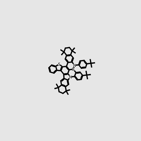 CC(C)(C)c1ccc(N2B3c4cc(C(C)(C)C)ccc4-n4c5cc6c(cc5c5c7c(sc8ccccc87)c(c3c54)-c3cc4c(cc32)C(C)(C)CCC4(C)C)C(C)(C)CCC6(C)C)cc1